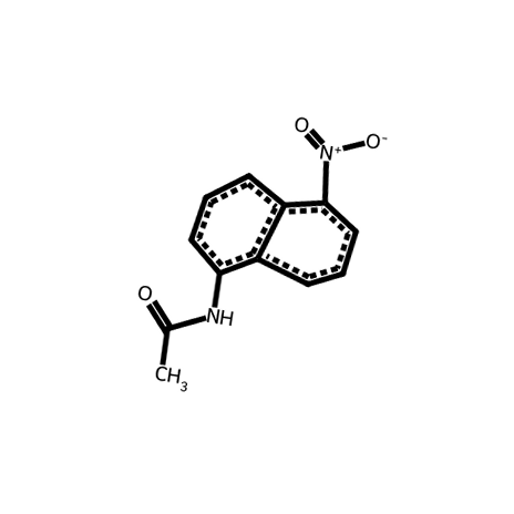 CC(=O)Nc1cccc2c([N+](=O)[O-])cccc12